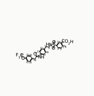 Cc1ccc(S(=O)(=O)NCCc2ccc(NC(=O)Cc3ccc(OC(F)(F)F)cc3)cc2)cc1C(=O)O